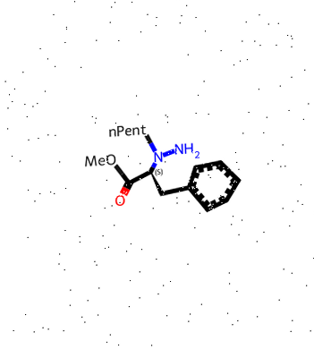 CCCCCN(N)[C@@H](Cc1ccccc1)C(=O)OC